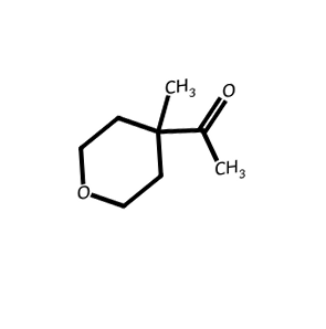 CC(=O)C1(C)CCOCC1